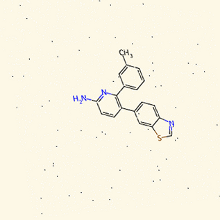 Cc1cccc(-c2nc(N)ccc2-c2ccc3ncsc3c2)c1